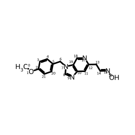 COc1ccc(Cn2cnc3cc(CC=NO)ncc32)cc1